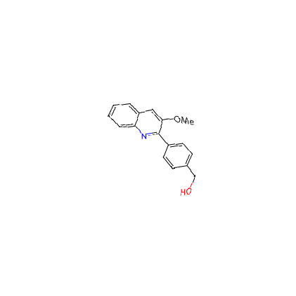 COc1cc2ccccc2nc1-c1ccc(CO)cc1